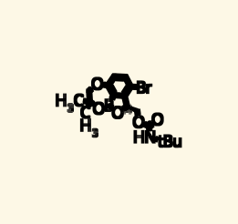 CC(C)(C)NC(=O)OC[C@H]1OB2OC(C)(C)COc3ccc(Br)c1c32